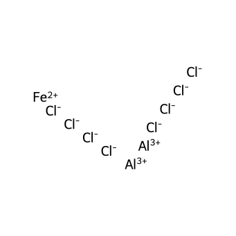 [Al+3].[Al+3].[Cl-].[Cl-].[Cl-].[Cl-].[Cl-].[Cl-].[Cl-].[Cl-].[Fe+2]